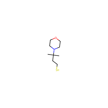 CC(C)(CCS)N1CCOCC1